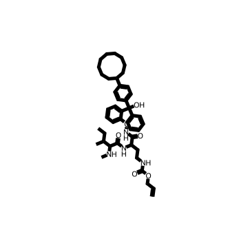 C=CCOC(=O)NCCC(NC(=O)C(NC)C(C)CC)C(=O)NOc1ccccc1C(O)(c1ccccc1)c1ccc(C2CCCCCCCCC2)cc1